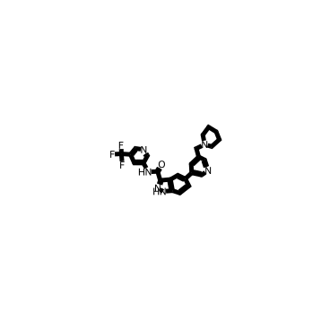 O=C(Nc1cncc(C(F)(F)F)c1)c1n[nH]c2ccc(-c3cncc(CN4CCCCC4)c3)cc12